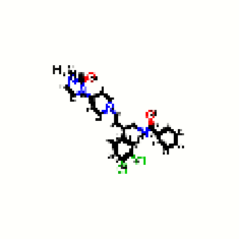 CN(CC(CCN1CCC(N2CCN(C)C2=O)CC1)c1ccc(Cl)c(Cl)c1)C(=O)c1ccccc1